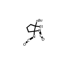 CCCCC1(CC)CCCC1(N=C=O)N=C=O